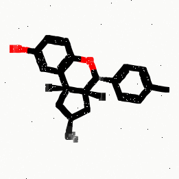 Cc1ccc([C@H]2Oc3ccc(O)cc3[C@H]3C[C@H](C(F)(F)F)C[C@H]32)cc1